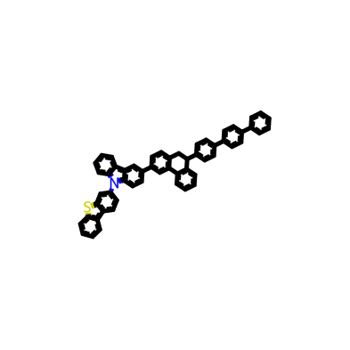 c1ccc(-c2ccc(-c3ccc(C4Cc5ccc(-c6ccc7c(c6)c6ccccc6n7-c6ccc7c(c6)sc6ccccc67)cc5-c5ccccc54)cc3)cc2)cc1